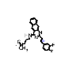 CN(C)CCCNc1nc(/C=C/c2ccc(F)c(F)c2)nc2cc3ccccc3cc12